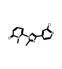 Cc1nc(-c2ccnc(Cl)c2)cn1-c1cccc(=O)n1C